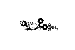 COC1(c2nc(COCc3nc(-c4ccccc4)c(-c4ccc(S(N)(=O)=O)cc4)o3)cs2)CCOCC1